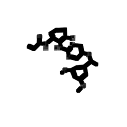 C=CC(=O)Nc1cccc(Cl)c1Nc1ncc(OC(C)c2cc(OC)cc(OC)c2)cn1